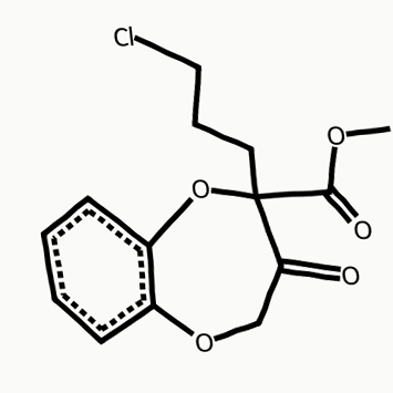 COC(=O)C1(CCCCl)Oc2ccccc2OCC1=O